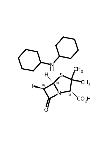 C1CCC(NC2CCCCC2)CC1.CC1(C)S[C@@H]2[C@H](I)C(=O)N2[C@H]1C(=O)O